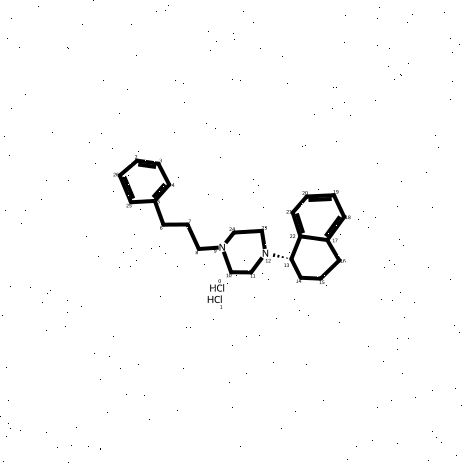 Cl.Cl.c1ccc(CCCN2CCN([C@H]3CCCc4ccccc43)CC2)cc1